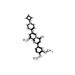 COc1ccc(-c2cc(=O)n3cc(C4=CCN(C5CCC5)CC4)cc(C)c3n2)cc1OC